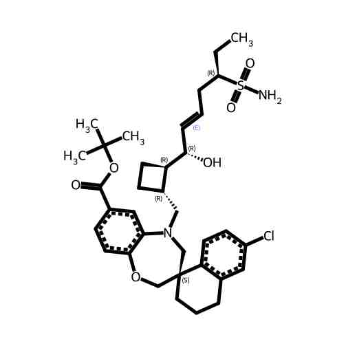 CC[C@H](C/C=C/[C@H](O)[C@@H]1CC[C@H]1CN1C[C@@]2(CCCc3cc(Cl)ccc32)COc2ccc(C(=O)OC(C)(C)C)cc21)S(N)(=O)=O